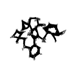 Cc1c(Cl)cccc1Nc1c(-c2ccncc2OCC2(C)CCO2)[nH]c2c1C(=O)NCC21CC1